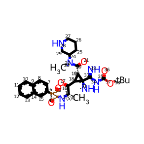 C[C@H](NS(=O)(=O)c1ccc2ccccc2c1)C(=O)C1[C@H](C(=O)N(C)C2CCCNC2)C1([NH])C(=N)NC(=O)OC(C)(C)C